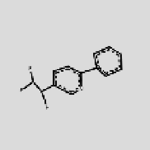 FC(F)C(F)c1ccc(-c2ccccc2)nc1